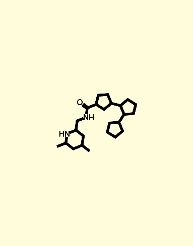 CC1CC(C)NC(CNC(=O)C2CCC(C3CCCC3C3CCCC3)C2)C1